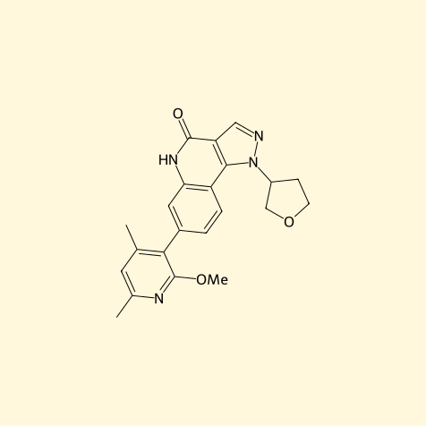 COc1nc(C)cc(C)c1-c1ccc2c(c1)[nH]c(=O)c1cnn(C3CCOC3)c12